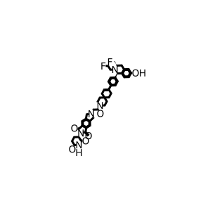 C[C@@H]1Cc2cc(O)ccc2[C@@H](c2ccc(C3=CCC4(CC3)CCN(C(=O)CN3Cc5cc6c(cc5C3)C(=O)N(C3CCC(=O)NC3=O)C6=O)CC4)cc2)N1CC(F)F